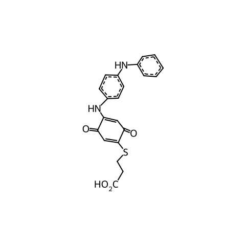 O=C(O)CCSC1=CC(=O)C(Nc2ccc(Nc3ccccc3)cc2)=CC1=O